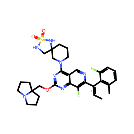 C/C=C(/c1ncc2c(N3CCCC4(CNS(=O)(=O)N4)C3)nc(OCC34CCCN3CCC4)nc2c1F)c1c(C)cccc1F